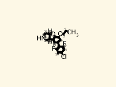 CCCOc1cc(-c2c(F)cc(Cl)cc2F)cc2c1O[C@H]1CCNC[C@@H]21